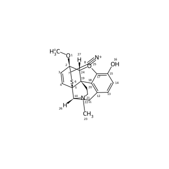 CO[C@]12C=C[C@@]3(SC1C#N)[C@H]1Cc4ccc(O)c5c4[C@@]3(CCN1C)[C@H]2O5